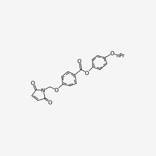 CCCOc1ccc(OC(=O)c2ccc(OCN3C(=O)C=CC3=O)cc2)cc1